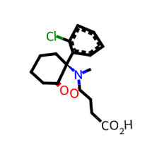 CN(C(=O)CCC(=O)O)[C@]1(c2ccccc2Cl)CCCCC1=O